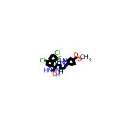 COC(=O)c1ccc2c3n(nc2c1)[C@@H]1[C@H](C3)N[C@@]2(C(=O)Nc3cc(Cl)ccc32)[C@H]1c1cccc(Cl)c1F